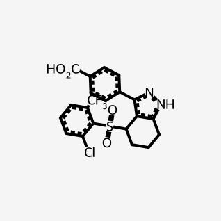 O=C(O)c1ccc(-c2n[nH]c3c2C(S(=O)(=O)c2c(Cl)cccc2C(F)(F)F)CCC3)cc1